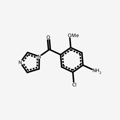 COc1cc(N)c(Cl)cc1C(=O)n1ccnc1